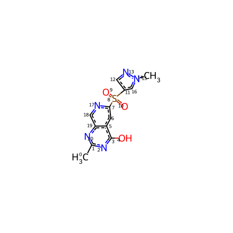 Cc1nc(O)c2cc(S(=O)(=O)c3cnn(C)c3)ncc2n1